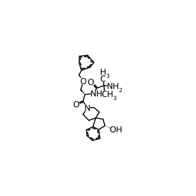 CC(C)(N)C(=O)N[C@H](COCc1ccccc1)C(=O)N1CCC2(CC1)C[C@H](O)c1ccccc12